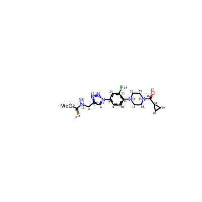 COC(=S)NCc1cn(-c2ccc(N3CCN(C(=O)C4CC4)CC3)c(F)c2)nn1